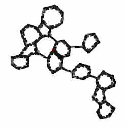 c1ccc(-c2cccc(-n3c4ccccc4c4ccc5c6ccccc6n(-c6ccc(-c7ccc(-c8cccc9c8sc8ccccc89)cc7)cc6)c5c43)c2)cc1